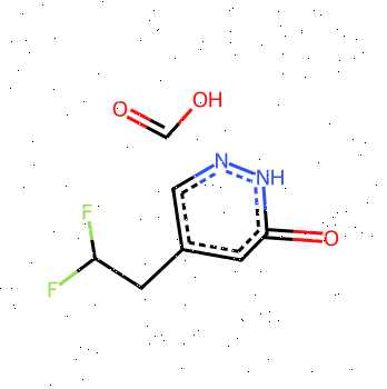 O=CO.O=c1cc(CC(F)F)cn[nH]1